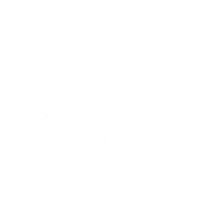 CC(O)COCC(F)(F)C(F)OC(F)(F)C(F)(F)C(F)(F)F